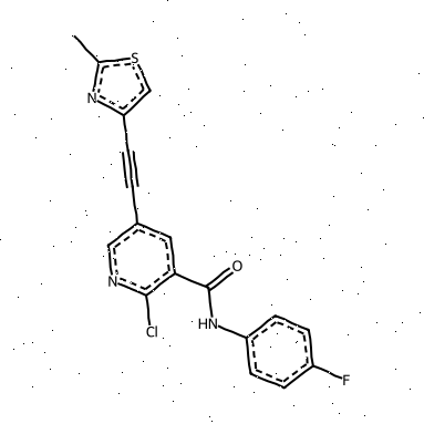 Cc1nc(C#Cc2cnc(Cl)c(C(=O)Nc3ccc(F)cc3)c2)cs1